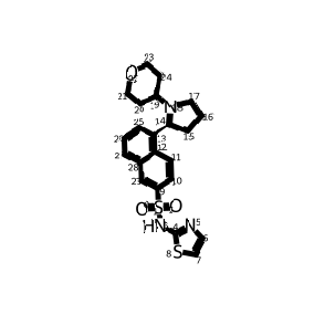 O=S(=O)(Nc1nccs1)c1ccc2c([C@@H]3CCCN3C3CCOCC3)cccc2c1